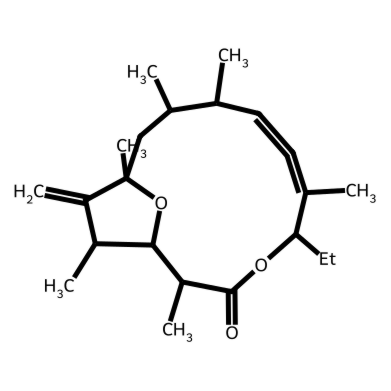 C=C1C(C)C2OC1(C)CC(C)C(C)C=C=C(C)C(CC)OC(=O)C2C